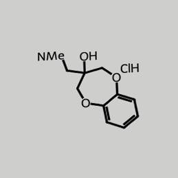 CNCC1(O)COc2ccccc2OC1.Cl